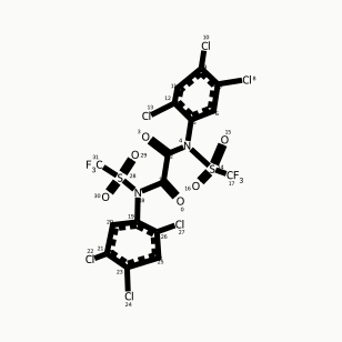 O=C(C(=O)N(c1cc(Cl)c(Cl)cc1Cl)S(=O)(=O)C(F)(F)F)N(c1cc(Cl)c(Cl)cc1Cl)S(=O)(=O)C(F)(F)F